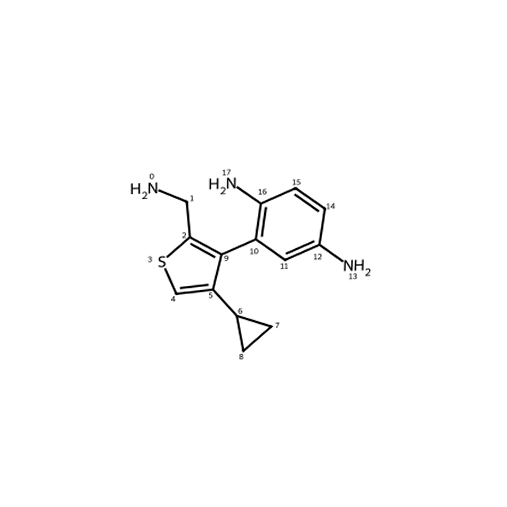 NCc1scc(C2CC2)c1-c1cc(N)ccc1N